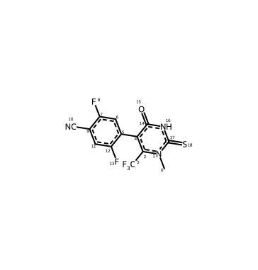 Cn1c(C(F)(F)F)c(-c2cc(F)c(C#N)cc2F)c(=O)[nH]c1=S